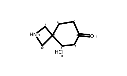 Cl.O=C1CCC2(CC1)CNC2